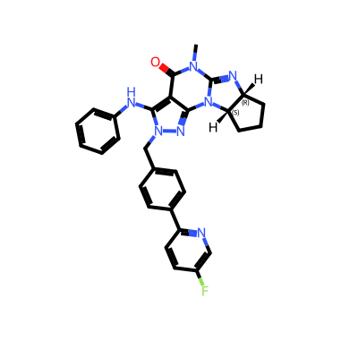 CN1C(=O)c2c(nn(Cc3ccc(-c4ccc(F)cn4)cc3)c2Nc2ccccc2)N2C1=N[C@@H]1CCC[C@@H]12